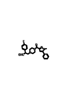 Cn1nc(C(=O)N2CCN(CC(C=O)c3ccc(F)cc3)CC2)cc1-c1ccccc1